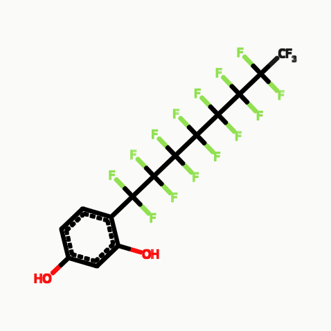 Oc1ccc(C(F)(F)C(F)(F)C(F)(F)C(F)(F)C(F)(F)C(F)(F)C(F)(F)C(F)(F)F)c(O)c1